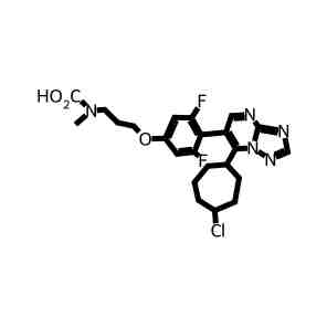 CN(CCCOc1cc(F)c(-c2cnc3ncnn3c2C2CCCC(Cl)CC2)c(F)c1)C(=O)O